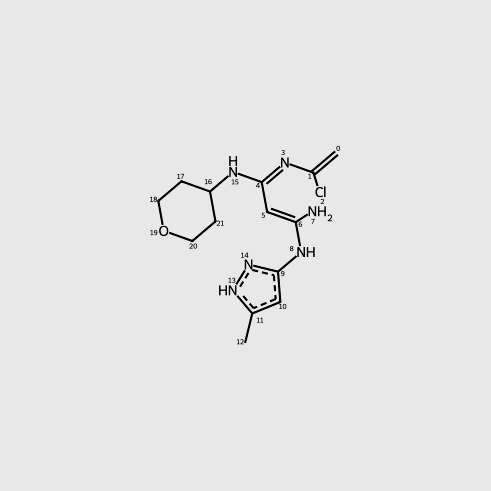 C=C(Cl)/N=C(\C=C(/N)Nc1cc(C)[nH]n1)NC1CCOCC1